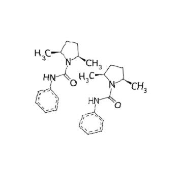 C[C@@H]1CC[C@H](C)N1C(=O)Nc1ccccc1.C[C@@H]1CC[C@H](C)N1C(=O)Nc1ccccc1